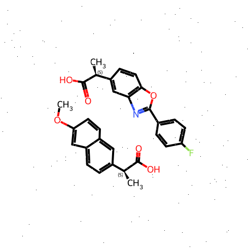 COc1ccc2cc([C@H](C)C(=O)O)ccc2c1.C[C@H](C(=O)O)c1ccc2oc(-c3ccc(F)cc3)nc2c1